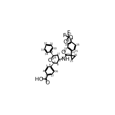 O=C(O)c1ccc([C@@H]2C[C@H](NC(=O)C3(c4ccc5c(c4)OC(F)(F)O5)CC3)C[C@H](c3ccccc3)O2)cc1